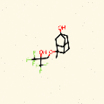 CC1(OCC(O)(C(F)(F)F)C(F)(F)F)C2CC3CC1CC(O)(C3)C2